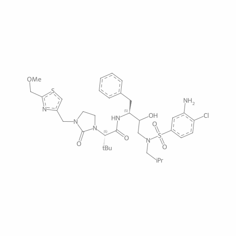 COCc1nc(CN2CCN([C@H](C(=O)N[C@@H](Cc3ccccc3)C(O)CN(CC(C)C)S(=O)(=O)c3ccc(Cl)c(N)c3)C(C)(C)C)C2=O)cs1